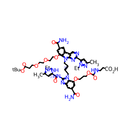 CCN/C(=C\C(C)=N)C(=O)Nc1nc2cc(C(N)=O)cc(OCCCOC(=O)NCCC(=O)O)c2n1C/C=C/Cn1c2nc(-c3cc(C)nn3CC)ncc2c2cc(C(N)=O)cc(OCCOCCOCCC(=O)OC(C)(C)C)c21